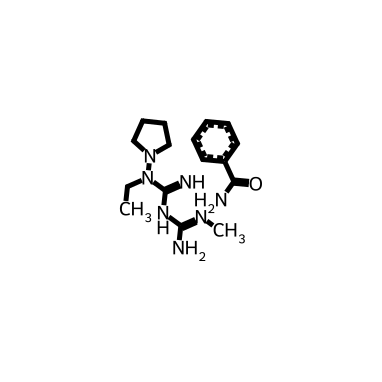 CCN(C(=N)NC(N)=NC)N1CCCC1.NC(=O)c1ccccc1